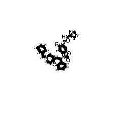 O=c1oc2cc(SONc3ncns3)c(F)cc2n1C1CC2(CCN(Cc3ccccc3)CC2)Oc2ccccc21